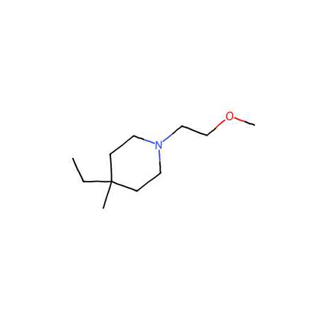 CCC1(C)CCN(CCOC)CC1